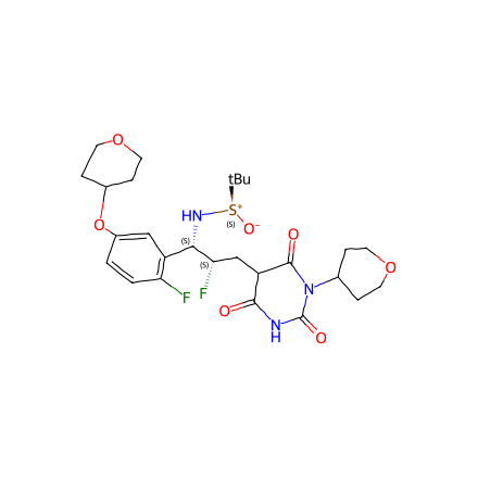 CC(C)(C)[S@@+]([O-])N[C@@H](c1cc(OC2CCOCC2)ccc1F)[C@@H](F)CC1C(=O)NC(=O)N(C2CCOCC2)C1=O